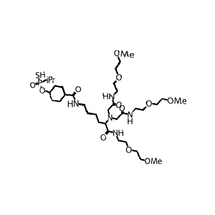 COCCOCCNC(=O)CN(CC(=O)NCCOCCOC)C(CCCCNC(=O)C1CCC(OP(=O)(S)C(C)C)CC1)C(=O)NCCOCCOC